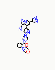 Cn1cc(-c2cc(-c3ccc(N4CCN(C(=O)c5ccccc5N5CCOCC5)CC4)nc3)c3c(C#N)cnn3c2)cn1